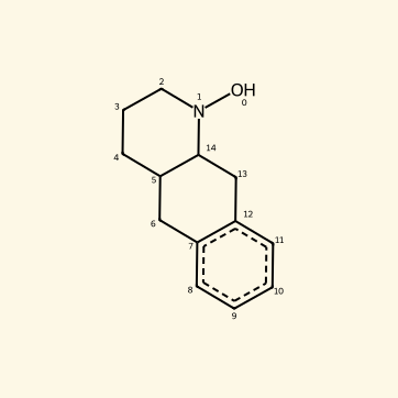 ON1CCCC2Cc3ccccc3CC21